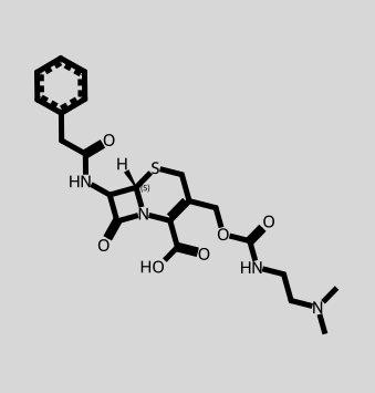 CN(C)CCNC(=O)OCC1=C(C(=O)O)N2C(=O)C(NC(=O)Cc3ccccc3)[C@@H]2SC1